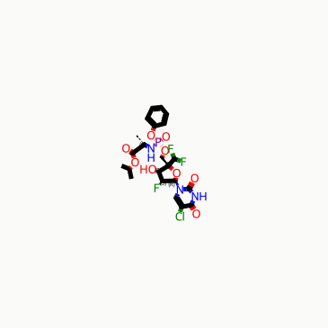 CC(C)OC(=O)[C@H](C)NP(=O)(OC[C@@]1(C(F)F)O[C@@H](n2cc(Cl)c(=O)[nH]c2=O)[C@@H](F)[C@@H]1O)Oc1ccccc1